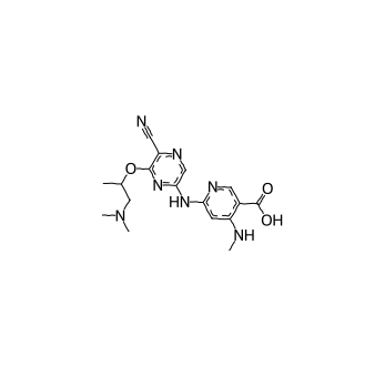 CNc1cc(Nc2cnc(C#N)c(OC(C)CN(C)C)n2)ncc1C(=O)O